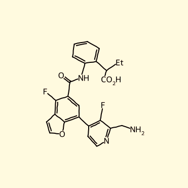 CCC(C(=O)O)c1ccccc1NC(=O)c1cc(-c2ccnc(CN)c2F)c2occc2c1F